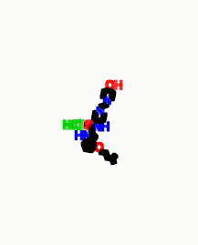 CC(C)CCCOc1cccc2[nH]c(C(=O)NC3CCN(CCN4CCC(O)CC4)CC3)cc12.Cl.Cl